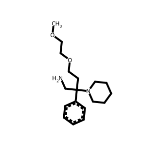 COCCOCCC(CN)(c1ccccc1)N1CCCCC1